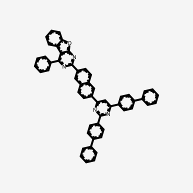 c1ccc(-c2ccc(-c3cc(-c4ccc5cc(-c6nc(-c7ccccc7)c7c(n6)oc6ccccc67)ccc5c4)nc(-c4ccc(-c5ccccc5)cc4)n3)cc2)cc1